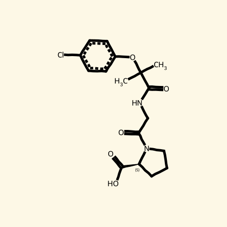 CC(C)(Oc1ccc(Cl)cc1)C(=O)NCC(=O)N1CCC[C@H]1C(=O)O